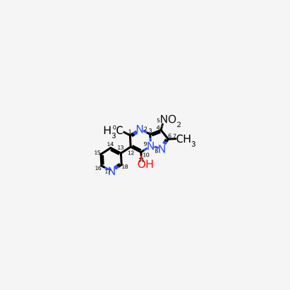 Cc1nc2c([N+](=O)[O-])c(C)nn2c(O)c1-c1cccnc1